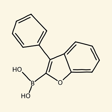 OB(O)c1oc2ccccc2c1-c1ccccc1